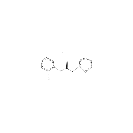 Cl.Nc1ccccc1NC(=O)Cc1cccnc1